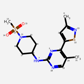 Cc1cc(-c2nc(NC3CCN(S(C)(=O)=O)CC3)ncc2C(F)(F)F)sn1